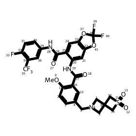 COc1ccc(CN2CC3(C2)CS(=O)(=O)C3)cc1C(=O)Nc1cc2c(cc1C(=O)Nc1ccc(F)c(C(F)(F)F)c1)OC(F)(F)O2